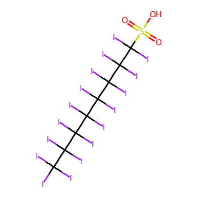 O=S(=O)(O)C(I)(I)C(I)(I)C(I)(I)C(I)(I)C(I)(I)C(I)(I)C(I)(I)C(I)(I)I